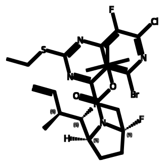 C=C[C@H](C)[C@H]1[C@@H]2CC[C@](F)(CN1c1nc(SCC)nc3c(F)c(Cl)nc(Br)c13)N2C(=O)OC(C)(C)C